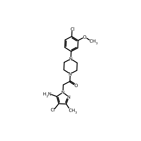 COc1cc(N2CCN(C(=O)Cn3nc(C)c(Cl)c3N)CC2)ccc1Cl